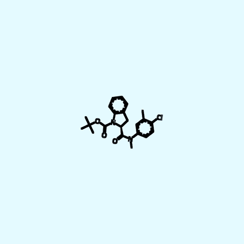 Cc1cc(N(C)C(=O)[C@@H]2Cc3ccccc3N2C(=O)OC(C)(C)C)ccc1Cl